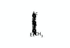 CCN(C)c1ccc(N=Nc2nc3sc(N=Nc4ccc(C(C)=O)cc4)cc3s2)cc1